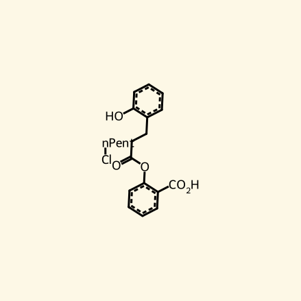 CCCCCCl.O=C(CCc1ccccc1O)Oc1ccccc1C(=O)O